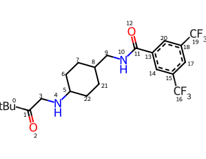 CC(C)(C)C(=O)CNC1CCC(CNC(=O)c2cc(C(F)(F)F)cc(C(F)(F)F)c2)CC1